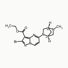 CCOC(=O)c1c(Br)nn2ccc(N3C[C@H]4C[C@@H]3CN4C)nc12